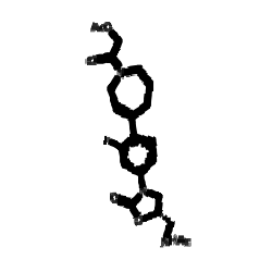 CC(=O)NC[C@H]1CN(c2ccc(C3=CCN(C(=O)COC(C)=O)CCC3)c(F)c2)C(=O)O1